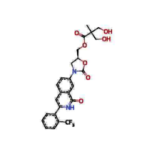 CC(CO)(CO)C(=O)OC[C@@H]1CN(c2ccc3cc(-c4ccccc4C(F)(F)F)[nH]c(=O)c3c2)C(=O)O1